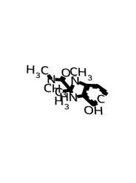 CN(C)C(=O)C1(C)Nc2c(O)cccc2N1C